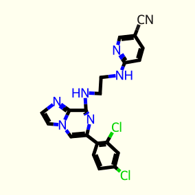 N#Cc1ccc(NCCNc2nc(-c3ccc(Cl)cc3Cl)cn3ccnc23)nc1